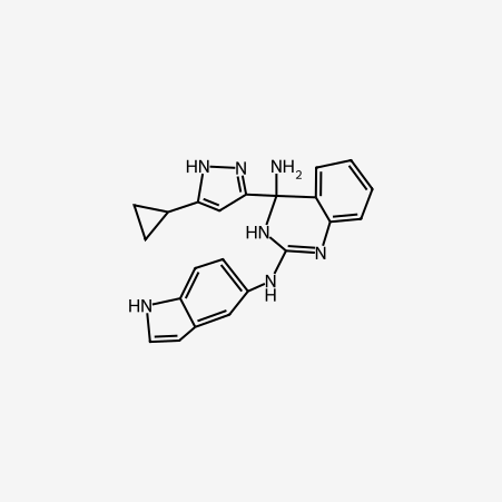 NC1(c2cc(C3CC3)[nH]n2)NC(Nc2ccc3[nH]ccc3c2)=Nc2ccccc21